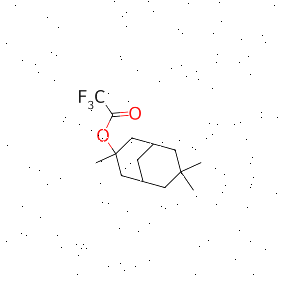 CC1(C)CC2CC(C1)CC(C)(OC(=O)C(F)(F)F)C2